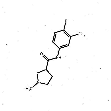 Cc1cc(NC(=O)C2CCN(C)C2)ccc1F